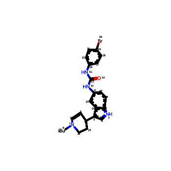 CCC(C)N1C=CC(c2c[nH]c3ccc(NC(=O)Nc4ccc(Br)cc4)cc23)CC1